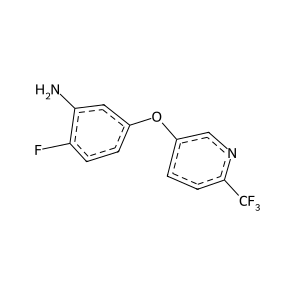 Nc1cc(Oc2ccc(C(F)(F)F)nc2)ccc1F